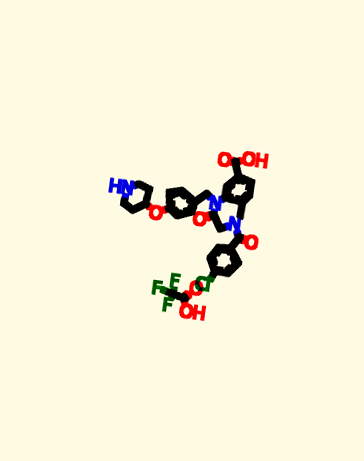 O=C(O)C(F)(F)F.O=C(O)c1ccc2c(c1)N(Cc1ccc(OC3CCNCC3)cc1)C(=O)CN(C(=O)c1ccc(Cl)cc1)C2